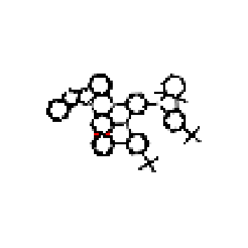 Cc1cc2c3c(c1)-n1c4c(cccc4c4sc5ccccc5c41)B3c1ccc(N3c4ccc(C(C)(C)C)cc4C4(C)CCCCC34C)cc1N2c1ccc(C(C)(C)C)cc1-c1ccccc1